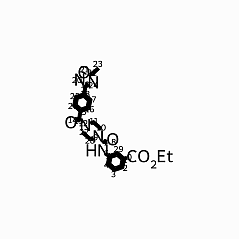 CCOC(=O)c1cccc(NC(=O)N2CCN(C(=O)c3ccc(-c4noc(C)n4)cc3)CC2)c1